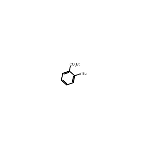 CCCCc1ccccc1C(=O)OCC